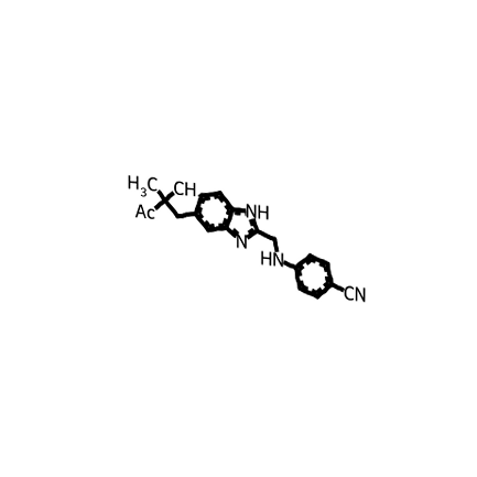 CC(=O)C(C)(C)Cc1ccc2[nH]c(CNc3ccc(C#N)cc3)nc2c1